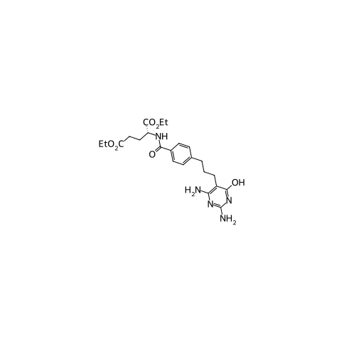 CCOC(=O)CC[C@@H](NC(=O)c1ccc(CCCc2c(N)nc(N)nc2O)cc1)C(=O)OCC